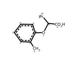 Cc1ccccc1OC(C(=O)O)C(C)C